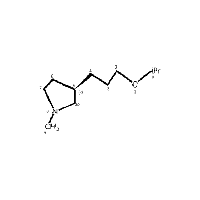 CC(C)OCCC[C@@H]1CCN(C)C1